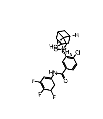 C[C@]1(O)CC2C[C@@H](C1)[C@@H]2C[S+]([O-])c1cc(C(=O)NC2=CC(F)=C(F)C(F)C2)ccc1Cl